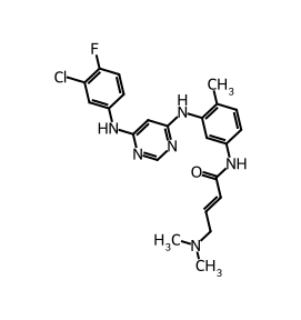 Cc1ccc(NC(=O)C=CCN(C)C)cc1Nc1cc(Nc2ccc(F)c(Cl)c2)ncn1